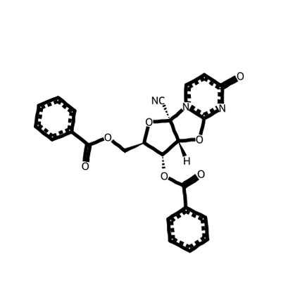 N#C[C@@]12O[C@H](COC(=O)c3ccccc3)[C@@H](OC(=O)c3ccccc3)[C@H]1Oc1nc(=O)ccn12